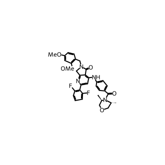 COc1ccc(CN2Cc3nc(-c4c(F)cccc4F)cc(Nc4ccc(C(=O)N5[C@H](C)COC[C@H]5C)cc4)c3C2=O)c(OC)c1